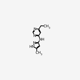 CCc1cc(Nc2cc(C)[nH]n2)ncn1